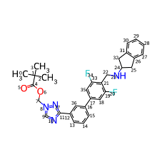 CC(C)(C)C(=O)OCn1cnc(-c2cccc(-c3cc(F)c(CNC4Cc5ccccc5C4)c(F)c3)c2)n1